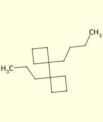 CCCCC1(C2(CCC)CCC2)CCC1